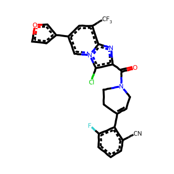 N#Cc1cccc(F)c1C1=CCN(C(=O)c2nc3c(C(F)(F)F)cc(-c4ccoc4)cn3c2Cl)CC1